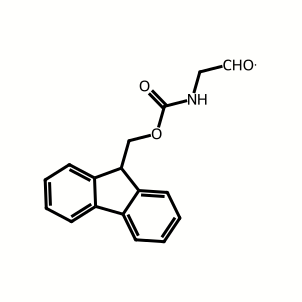 O=[C]CNC(=O)OCC1c2ccccc2-c2ccccc21